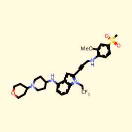 COc1cc(S(C)(=O)=O)ccc1NCC#Cc1cc2c(NC3CCN(C4CCOCC4)CC3)cccc2n1CC(F)(F)F